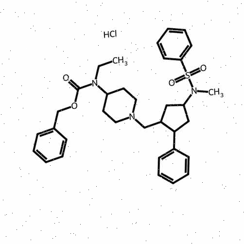 CCN(C(=O)OCc1ccccc1)C1CCN(CC2CC(N(C)S(=O)(=O)c3ccccc3)CC2c2ccccc2)CC1.Cl